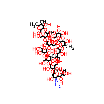 CC1C(O)[C@H](OC2OC(CO)[C@H](O)[C@H](O)C2O)[C@H](CO)O[C@H]1O[C@H](C(O)[C@H](O)CCO)[C@H](O)OCC[C@@H](O)C(O[C@H]1O[C@H](CO)[C@@H](O)C(O)C1O[C@@H]1OC(CO)[C@@H](O[C@@H]2OC(CO)[C@H](O)C(O[C@]3(C(=O)O)C[C@@H](O)[C@@H](N)C([C@H](O)[C@H](O)CO)O3)[C@@H]2O)C(O)[C@@H]1C)[C@@H](O)[C@@H](O)O[C@@H]1C(CO)O[C@@H](O[C@@H]2C(CO)O[C@@H](C)[C@@H](C)C2O)[C@@H](C)C1O